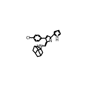 Clc1ccc(C2=CC(c3ccc[nH]3)=N/C2=C/NC23CC4CC(CC(C4)C2)C3)cc1